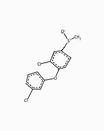 C[S+]([O-])c1ccc(Oc2c[c]cc(Cl)c2)c(Cl)c1